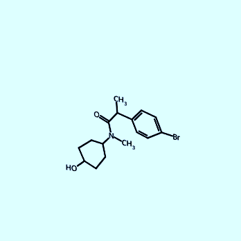 CC(C(=O)N(C)C1CCC(O)CC1)c1ccc(Br)cc1